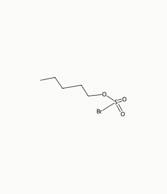 CCCCCOS(=O)(=O)Br